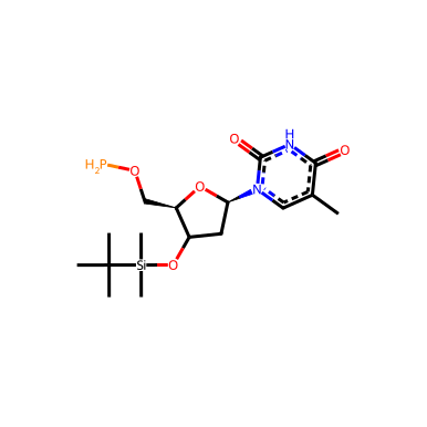 Cc1cn([C@H]2CC(O[Si](C)(C)C(C)(C)C)[C@@H](COP)O2)c(=O)[nH]c1=O